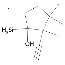 C#CC1(C)C(C)(C)CCC1(O)[SiH3]